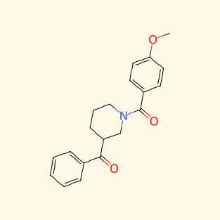 COc1ccc(C(=O)N2CCCC(C(=O)c3ccccc3)C2)cc1